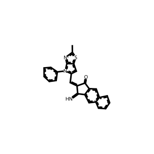 Cc1nc2c(cc(/C=C3/C(=N)c4cc5ccccc5cc4C3=O)n2-c2ccccc2)s1